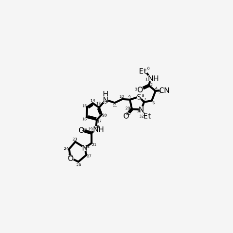 CCNC(=O)C(C#N)CC1SC(CCNc2cccc(NC(=O)CN3CCOCC3)c2)C(=O)N1CC